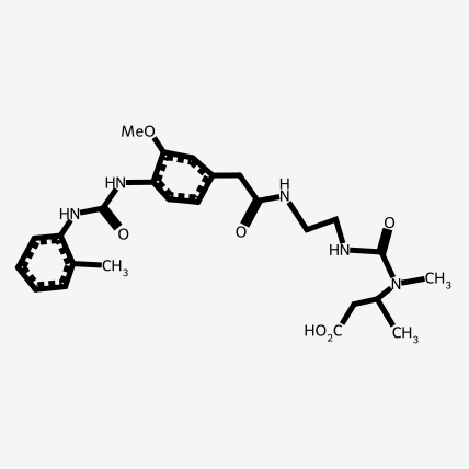 COc1cc(CC(=O)NCCNC(=O)N(C)C(C)CC(=O)O)ccc1NC(=O)Nc1ccccc1C